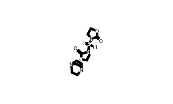 C1CN2CCN1CC2.O=C1OCCN1P(=O)(Cl)N1CCOC1=O